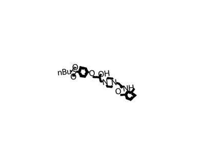 CCCCS(=O)(=O)c1ccc(OCC(O)CN2CCN(CC(=O)Nc3c(C)cccc3C)CC2)cc1